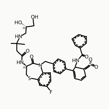 CC(C)(CC(=O)N[C@@H]1CSc2cc(F)ccc2N(Cc2ccc(C3=CC=CC(=S(=O)=O)C3NC(=O)c3ccccc3)cc2)C1=O)NC[C@H](O)CO